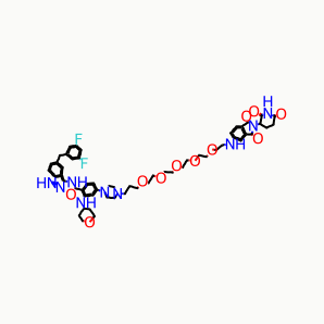 O=C1CCC(N2C(=O)c3ccc(NCCOCCOCCOCCOCCOCCCN4CCN(c5ccc(C(=O)Nc6n[nH]c7ccc(Cc8cc(F)cc(F)c8)cc67)c(NC6CCOCC6)c5)CC4)cc3C2=O)C(=O)N1